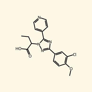 CCC(C(=O)O)n1nc(-c2ccc(OC)c(Cl)c2)nc1-c1ccncc1